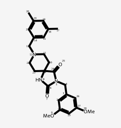 COc1cc(CN2C(=O)NC3(CCN(Cc4cc(C)cc(C)c4)CC3)C2=O)cc(OC)c1